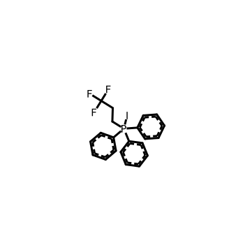 FC(F)(F)CCP(I)(c1ccccc1)(c1ccccc1)c1ccccc1